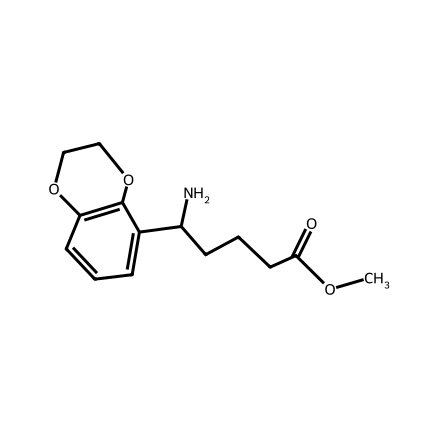 COC(=O)CCCC(N)c1cccc2c1OCCO2